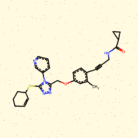 Cc1cc(OCc2nnc(SC3C=CCCC3)n2-c2cccnc2)ccc1C#CCNC(=O)C1CC1